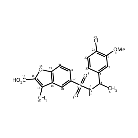 COc1cc(C(C)NS(=O)(=O)c2ccc3oc(C(=O)O)c(C)c3c2)ccc1Cl